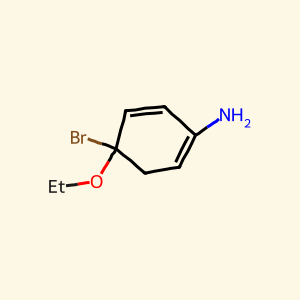 CCOC1(Br)C=CC(N)=CC1